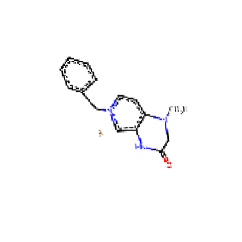 O=C1CN(C(=O)O)c2cc[n+](Cc3ccccc3)cc2N1.[Br-]